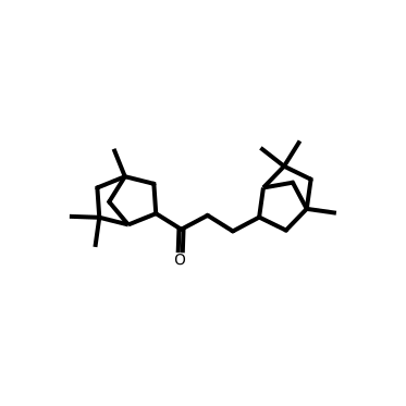 CC12CC(CCC(=O)C3CC4(C)CC3C(C)(C)C4)C(C1)C(C)(C)C2